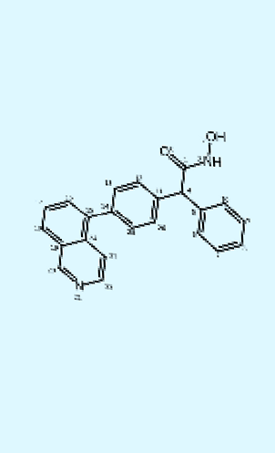 O=C(NO)C(c1ccccc1)c1ccc(-c2cccc3cnccc23)cc1